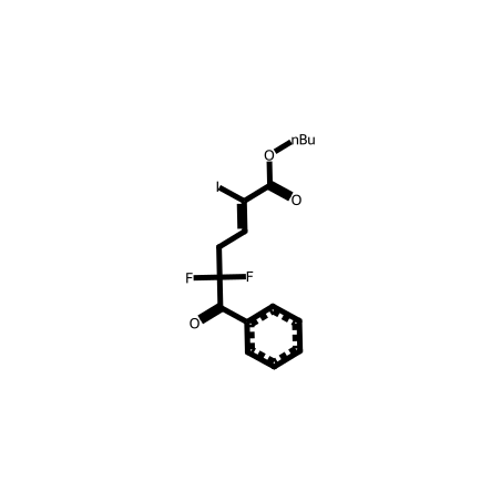 CCCCOC(=O)/C(I)=C/CC(F)(F)C(=O)c1ccccc1